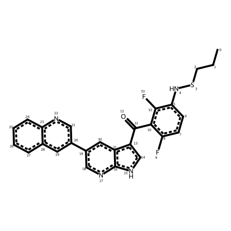 CCCSNc1ccc(F)c(C(=O)c2c[nH]c3ncc(-c4cnc5ccccc5c4)cc23)c1F